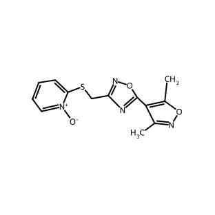 Cc1noc(C)c1-c1nc(CSc2cccc[n+]2[O-])no1